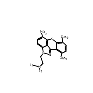 CCN(CC)CCn1nc2c3c(c([N+](=O)[O-])ccc31)Sc1c(OC)ccc(OC)c1-2